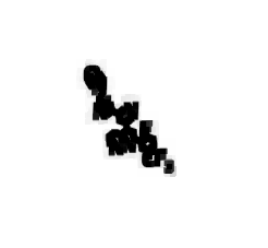 Fc1ccc(C(F)(F)F)cc1-c1cc(-c2cncc(-c3cnn(CCN4CCOCC4)c3)c2)c2cccnc2n1